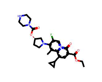 CCOC(=O)c1cc(C2CC2)c2c(C)c(N3CC[C@H](OC(=O)N4CCNCC4)C3)c(F)cn2c1=O